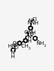 Cc1cc(S(=O)(=O)NC2CCNCC2)ccc1-c1cccc(C[C@H](NC(=O)[C@H]2CC[C@H](CN)CC2)C(=O)Nc2ccc(-c3nnc(Cl)[nH]3)cc2)c1